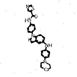 O=C(Nc1ccc(-n2ncc3cc(Nc4ccc(N5CCOCC5)cc4)ccc32)cc1)c1cncs1